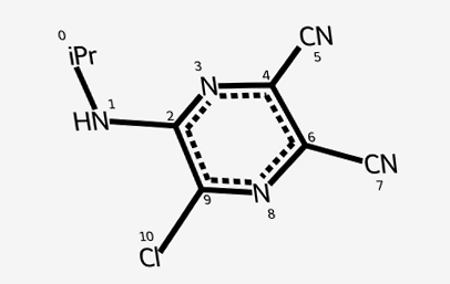 CC(C)Nc1nc(C#N)c(C#N)nc1Cl